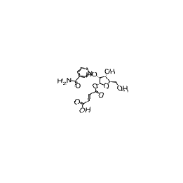 NC(=O)c1cccnc1.O=C(O)/C=C/C(=O)OC1O[C@H](CO)[C@@H](O)[C@H]1O